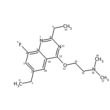 CCc1cc(F)c2nc(CC)nc(OCCN(C)C)c2c1